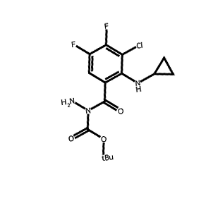 CC(C)(C)OC(=O)N(N)C(=O)c1cc(F)c(F)c(Cl)c1NC1CC1